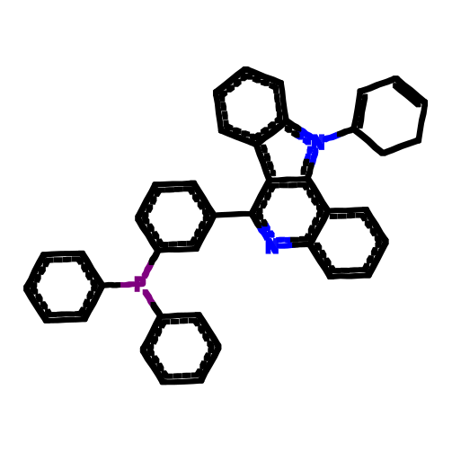 C1=CCCC(n2c3ccccc3c3c(-c4cccc(P(c5ccccc5)c5ccccc5)c4)nc4ccccc4c32)=C1